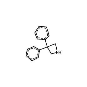 c1ccc(C2(c3ccccc3)CNC2)cc1